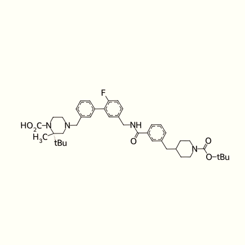 CC(C)(C)OC(=O)N1CCC(Cc2cccc(C(=O)NCc3ccc(F)c(-c4cccc(CN5CCN(C(=O)O)[C@@](C)(C(C)(C)C)C5)c4)c3)c2)CC1